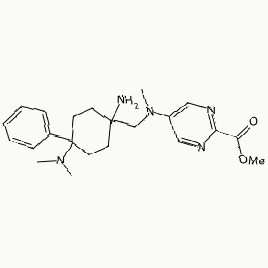 COC(=O)c1ncc(N(C)CC2(N)CCC(c3ccccc3)(N(C)C)CC2)cn1